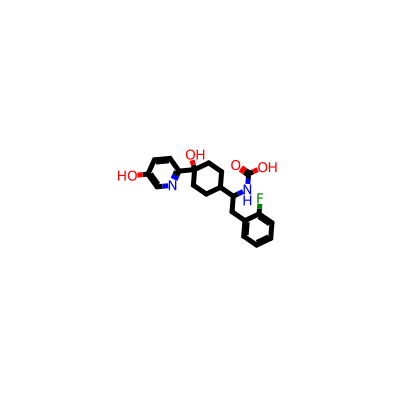 O=C(O)NC(Cc1ccccc1F)C1CCC(O)(c2ccc(O)cn2)CC1